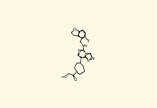 COCC(=O)N1CCCC(c2cnc(NCc3c(F)ccc4c3CCO4)n3cnnc23)CC1